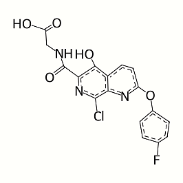 O=C(O)CNC(=O)c1nc(Cl)c2nc(Oc3ccc(F)cc3)ccc2c1O